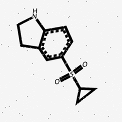 O=S(=O)(c1ccc2c(c1)CCN2)C1CC1